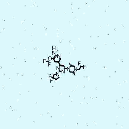 C[C@H]1CN(c2cc(-c3cnc(N)c(OC(F)F)c3)nc(N3CCC(F)(F)C3)n2)[C@@H](C)CN1CC(F)F